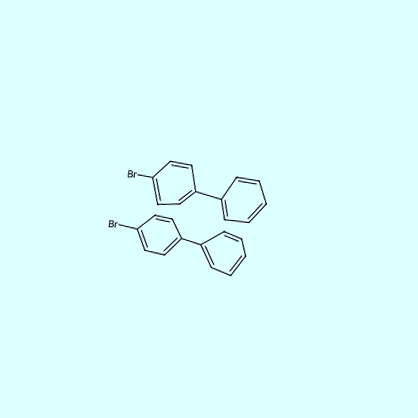 Brc1ccc(-c2ccccc2)cc1.Brc1ccc(-c2ccccc2)cc1